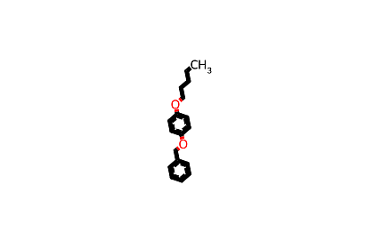 CCCCCOc1ccc(OCc2ccccc2)cc1